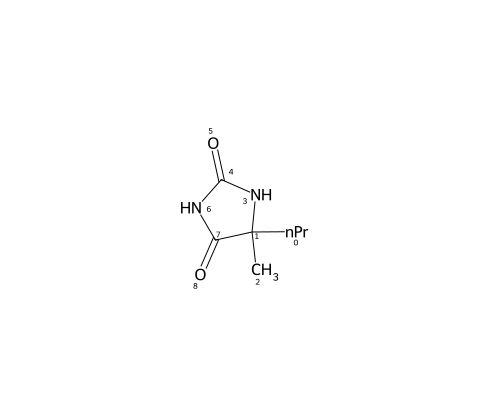 CCCC1(C)NC(=O)NC1=O